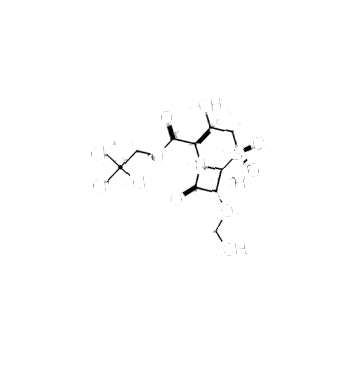 CCO[C@H]1C(=O)N2C(C(=O)OCC(Cl)(Cl)Cl)=C(C)CS(=O)(=O)[C@@H]12